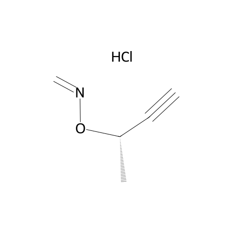 C#C[C@H](C)ON=C.Cl